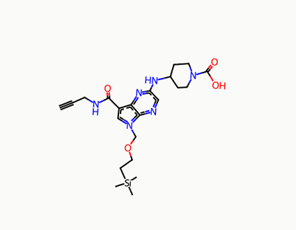 C#CCNC(=O)c1cn(COCC[Si](C)(C)C)c2ncc(NC3CCN(C(=O)O)CC3)nc12